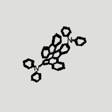 c1ccc(N(c2ccccc2)c2ccc3c(c2)C2(c4ccccc4-c4ccccc42)c2c-3c3ccccc3c3cc(N(c4ccccc4)c4ccccc4)ccc23)cc1